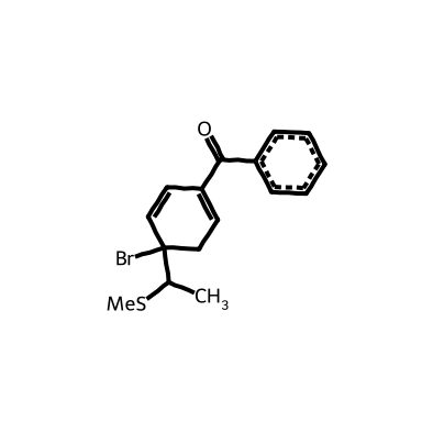 CSC(C)C1(Br)C=CC(C(=O)c2ccccc2)=CC1